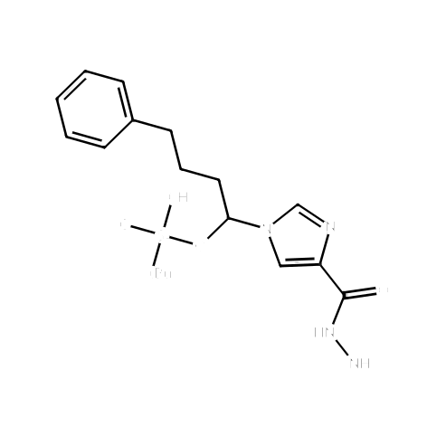 CC(C)(C)[Si](C)(C)OC(CCCc1ccccc1)n1cnc(C(=O)NN)c1